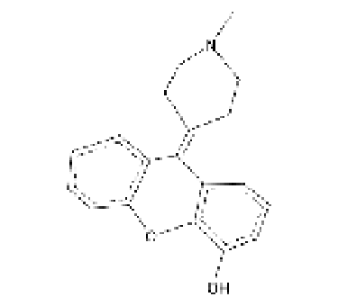 CN1CCC(=C2c3ccccc3Oc3c(O)cccc32)CC1